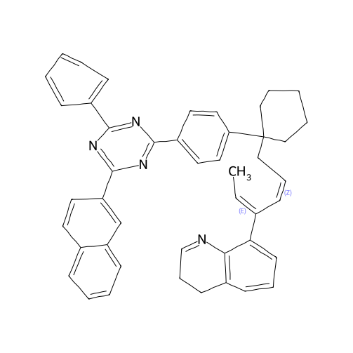 C/C=C(\C=C/CC1(c2ccc(-c3nc(-c4ccccc4)nc(-c4ccc5ccccc5c4)n3)cc2)CCCCC1)c1cccc2c1N=CCC2